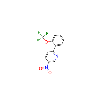 O=[N+]([O-])c1ccc(-c2ccccc2OC(F)(F)F)nc1